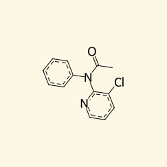 CC(=O)N(c1ccccc1)c1ncccc1Cl